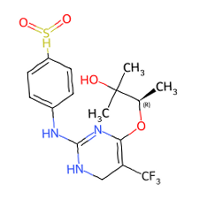 C[C@@H](OC1=C(C(F)(F)F)CNC(Nc2ccc([SH](=O)=O)cc2)=N1)C(C)(C)O